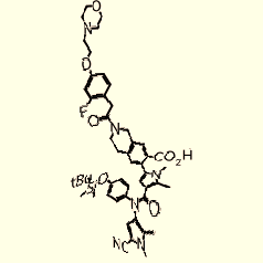 Cc1c(N(C(=O)c2cc(-c3cc4c(cc3C(=O)O)CN(C(=O)Cc3ccc(OCCN5CCOCC5)cc3F)CC4)n(C)c2C)c2ccc(O[Si](C)(C)C(C)(C)C)cc2)cc(C#N)n1C